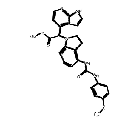 CC(C)(C)OC(=O)C(c1ccnc2[nH]ccc12)N1CCc2c(NC(=O)Nc3ccc(OC(F)(F)F)cc3)cccc21